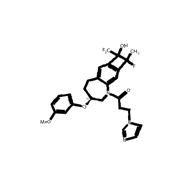 COc1cccc(O[C@H]2CCc3cc4c(cc3N(C(=O)CCn3ccnc3)C2)C(C)(F)C4(O)C(F)(F)F)c1